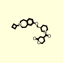 O=C1CC(C(=O)N2CCC[C@H](COc3ccc4c(c3)CCN(C3CCC3)CC4)C2)CCO1